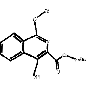 CCCCOC(=O)c1nc(OCC)c2ccccc2c1O